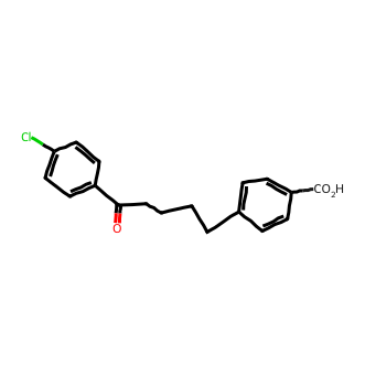 O=C(O)c1ccc(CCCCC(=O)c2ccc(Cl)cc2)cc1